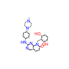 CN1CCN(c2ccc(Nc3ncc4ccc(=O)n(Cc5c(O)cccc5O)c4n3)cc2)CC1